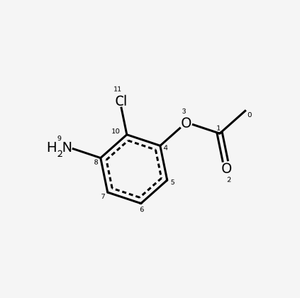 CC(=O)Oc1cccc(N)c1Cl